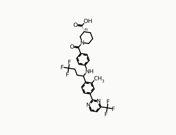 Cc1cc(-c2nccc(C(F)(F)F)n2)ccc1C(CCC(F)(F)F)Nc1ccc(C(=O)N2CCC[C@@H](C(=O)O)C2)cc1